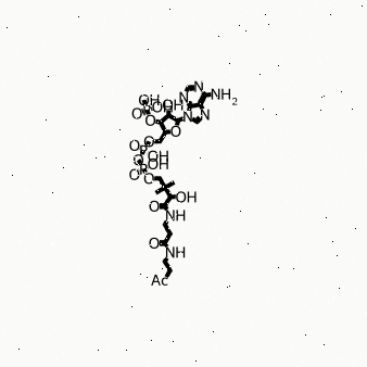 CC(=O)CCNC(=O)CCNC(=O)C(O)C(C)(C)COP(=O)(O)OP(=O)(O)OCC1OC(n2cnc3c(N)ncnc32)C(O)C1OP(=O)(O)O